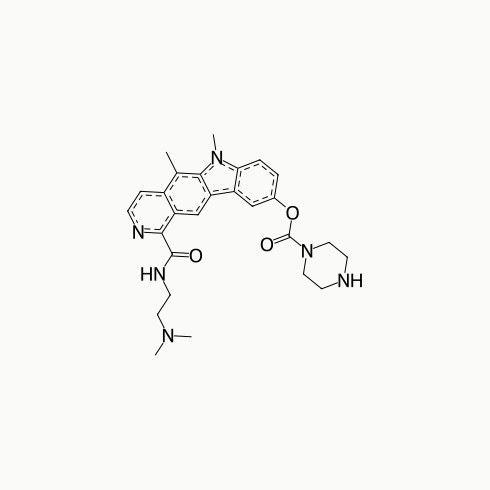 Cc1c2ccnc(C(=O)NCCN(C)C)c2cc2c3cc(OC(=O)N4CCNCC4)ccc3n(C)c12